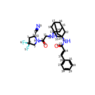 N#C[C@@H]1CC(F)(F)CN1C(=O)CNC12CC3CC(C1)CC(NC(=O)C=Cc1ccccc1)(C3)C2